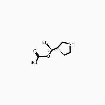 CC[C@H](OC(=O)C(C)(C)C)[C@H]1CCNC1